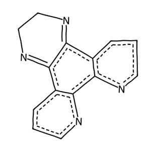 c1cnc2c(c1)c1c(c3cccnc32)=NCCN=1